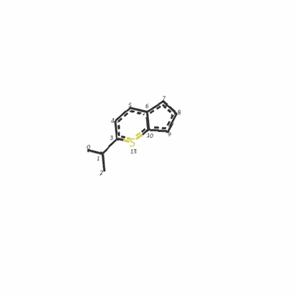 CC(C)c1ccc2cccc-2s1